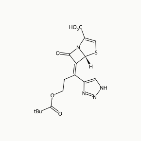 CC(C)(C)C(=O)OCC/C(=C1\C(=O)N2C(C(=O)O)=CS[C@H]12)c1c[nH]nn1